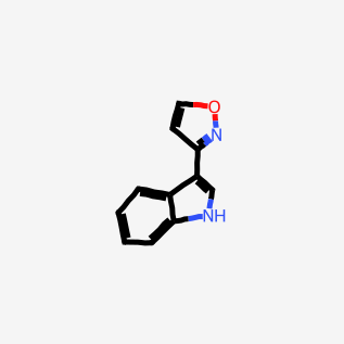 c1ccc2c(-c3ccon3)c[nH]c2c1